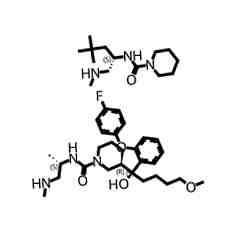 CNC[C@H](C)NC(=O)N1CCC[C@@H]([C@@](O)(CCCCOC)c2ccccc2Oc2ccc(F)cc2)C1.CNC[C@H](CC(C)(C)C)NC(=O)N1CCCCC1